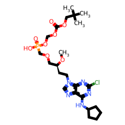 CO[C@@H](CCn1cnc2c(NC3CCCC3)nc(Cl)nc21)COCP(=O)(O)OCOC(=O)OCC(C)(C)C